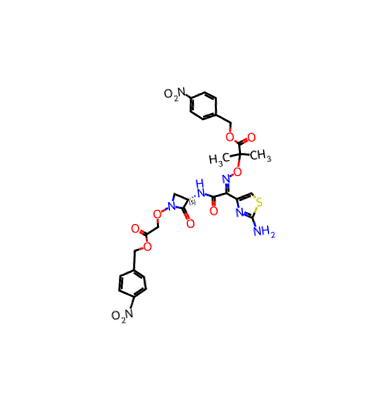 CC(C)(ON=C(C(=O)N[C@H]1CN(OCC(=O)OCc2ccc([N+](=O)[O-])cc2)C1=O)c1csc(N)n1)C(=O)OCc1ccc([N+](=O)[O-])cc1